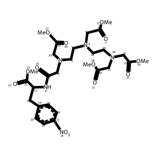 COC(=O)CN(CCN(CC(=O)NC(Cc1ccc([N+](=O)[O-])cc1)C(=O)OC)CC(=O)OC)CCN(CC(=O)OC)CC(=O)OC